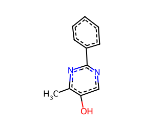 Cc1nc(-c2ccccc2)ncc1O